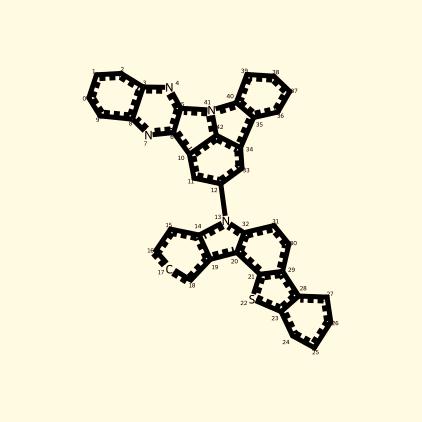 c1ccc2nc3c(nc2c1)c1cc(-n2c4ccccc4c4c5sc6ccccc6c5ccc42)cc2c4ccccc4n3c21